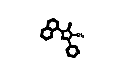 CC1C(=O)N(c2cccc3ccccc23)N=C1c1cccnc1